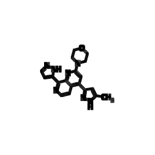 Cc1cc(-c2cc(N3CCOCC3)nc3c(-c4ccn[nH]4)nccc23)n[nH]1